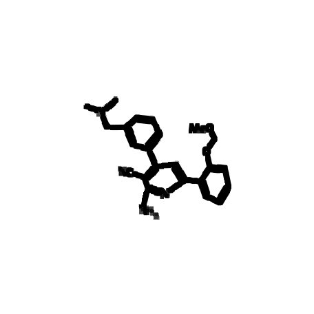 COCOc1ccccc1-c1cc(-c2cccc(CN(C)C)c2)c(C#N)c(N)n1